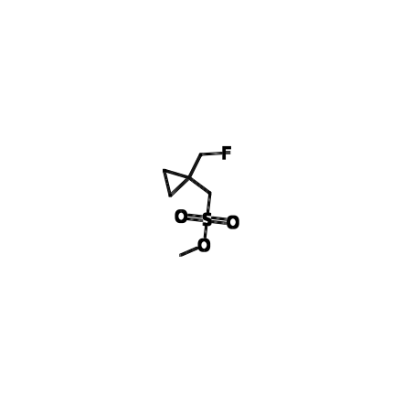 COS(=O)(=O)CC1(CF)CC1